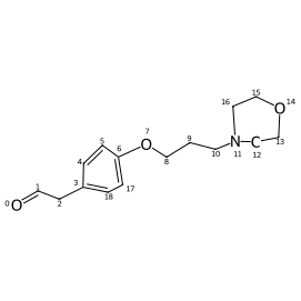 O=CCc1ccc(OCCCN2CCOCC2)cc1